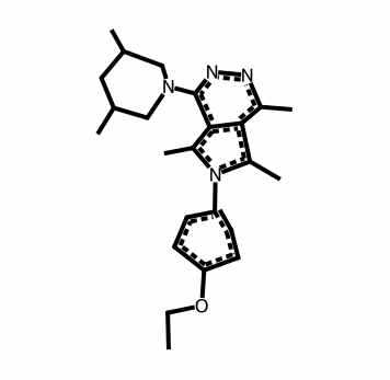 CCOc1ccc(-n2c(C)c3c(C)nnc(N4CC(C)CC(C)C4)c3c2C)cc1